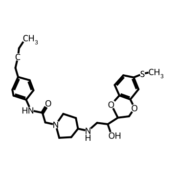 CCCCc1ccc(NC(=O)CN2CCC(NCC(O)C3COc4cc(SC)ccc4O3)CC2)cc1